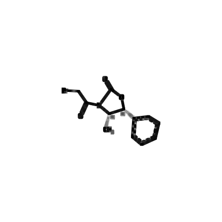 C[C@H]1[C@@H](c2ccccc2)OC(=O)N1C(=O)CBr